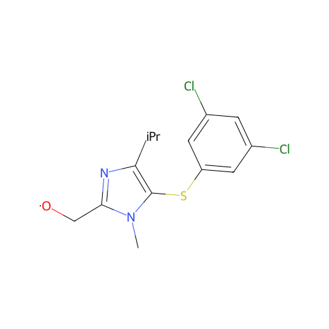 CC(C)c1nc(C[O])n(C)c1Sc1cc(Cl)cc(Cl)c1